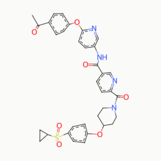 CC(=O)c1ccc(Oc2ccc(NC(=O)c3ccc(C(=O)N4CCC(Oc5ccc(S(=O)(=O)C6CC6)cc5)CC4)nc3)cn2)cc1